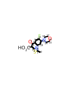 C=c1sc2c(C(=O)O)c(=O)c3cc(F)c(N4CCOCC4)cc3n12